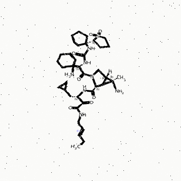 CC/C=C/CNC(=O)C(=O)[C@H](CC1CC1)NC(=O)[C@@H]1C2[C@H](CN1C(=O)[C@@H](NC(=O)NC1([C@H]3CCCS3(=O)=O)CCCCC1)C1(N)CCCCC1)[C@@]2(C)N